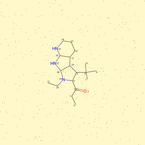 CCC(=O)C1C(C(C)(C)C)C2C3CCCNC3NC2N1CC